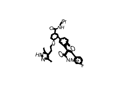 CNC(=O)c1c(-c2ccc(F)cc2)oc2ccc(-c3cc(C(=O)NCC(C)C)ccc3OCCc3c(C)n[nH]c3C)cc12